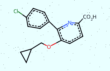 O=C(O)c1ccc(OCC2CC2)c(-c2ccc(Cl)cc2)n1